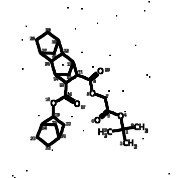 CC(C)(C)OC(=O)COC(=O)C1C2CC(C1C(=O)OC1CC3CCC1C3)C1C3CCC(C3)C21